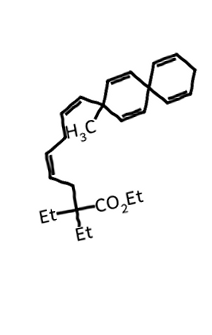 CCOC(=O)C(CC)(CC)C/C=C\C/C=C\C1(C)C=CC2(C=CCC=C2)C=C1